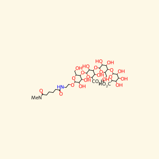 CNC(=O)CCCCC(=O)NCCOC1OC(CO)C(OC2OC(C(=O)O)C(O)C(OC3OC(CO)C(OC4OC(C(=O)O)C(O)C(O)C4O)C(O)C3O)C2O)C(O)C1O